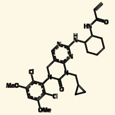 C=CC(=O)NC1CCCCC1Nc1ncc2c(n1)N(CC1CC1)C(=O)N(c1c(Cl)c(OC)cc(OC)c1Cl)C2